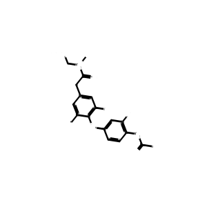 CC(C)C(=O)Nc1ccc(Oc2c(Cl)cc(CC(=O)N(C)CC(=O)O)cc2Cl)cc1Br